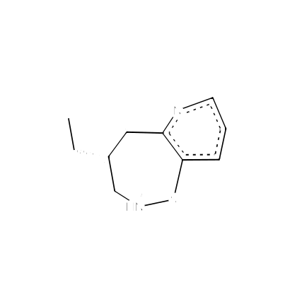 CC[C@H]1CNSc2cccnc2C1